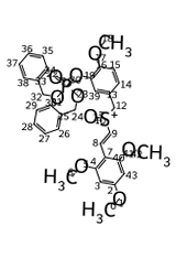 COc1cc(OC)c(C=C[S+]([O-])Cc2ccc(OC)c(OP(=O)(OCc3ccccc3)OCc3ccccc3)c2)c(OC)c1